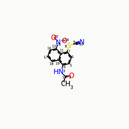 CC(=O)Nc1ccc(SC#N)c2c([N+](=O)[O-])cccc12